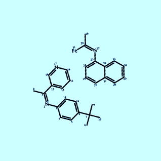 CC(=Nc1ccc(C(C)(C)C)cc1)c1cccnc1.C[C]([Fe])=Nc1cccc2ccccc12